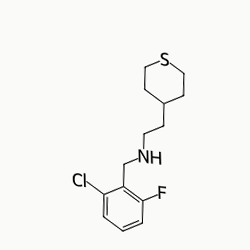 Fc1cccc(Cl)c1CNCCC1CCSCC1